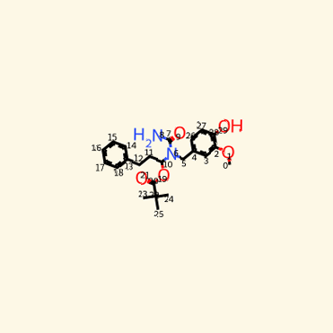 COc1cc(CN(C(N)=O)C(CCc2ccccc2)OC(=O)C(C)(C)C)ccc1O